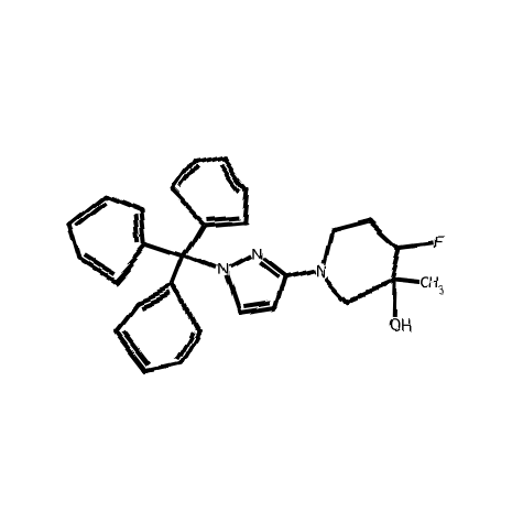 CC1(O)CN(c2ccn(C(c3ccccc3)(c3ccccc3)c3ccccc3)n2)CCC1F